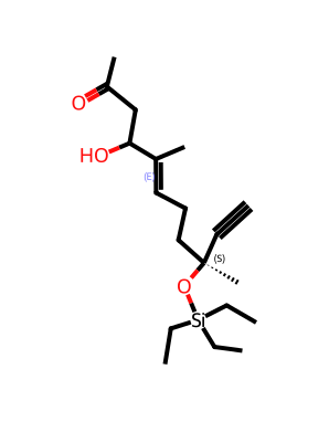 C#C[C@](C)(CC/C=C(\C)C(O)CC(C)=O)O[Si](CC)(CC)CC